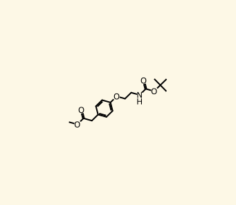 COC(=O)Cc1ccc(OCCNC(=O)OC(C)(C)C)cc1